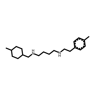 Cc1ccc(CCNCCCCNCC2CCC(C)CC2)cc1